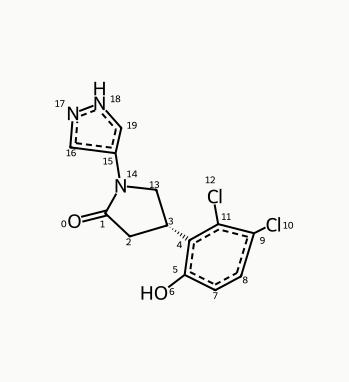 O=C1C[C@@H](c2c(O)ccc(Cl)c2Cl)CN1c1cn[nH]c1